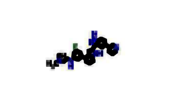 CN(C)CCNc1cc(F)cc(-c2cccc3[nH]c(-c4n[nH]c5ccc(-c6cccnc6)cc45)cc23)c1